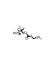 CCSC(=O)OCC(F)(F)S(=O)(=O)O